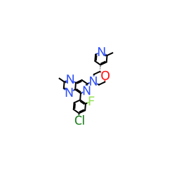 Cc1cc([C@H]2CN(c3cc4nc(C)cnc4c(-c4ccc(Cl)cc4F)n3)CCO2)ccn1